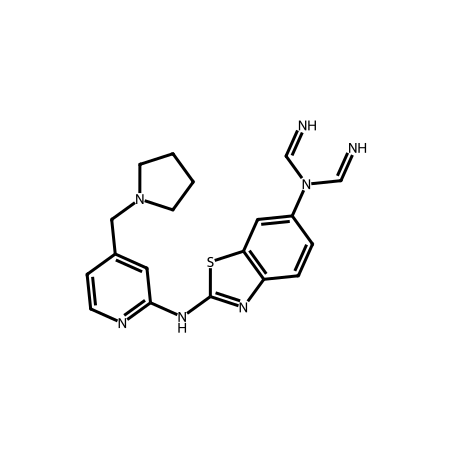 N=CN(C=N)c1ccc2nc(Nc3cc(CN4CCCC4)ccn3)sc2c1